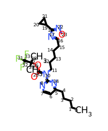 CCCCCc1ccnc(N(CCCCCc2nc(C3CC3)no2)C(=O)OC(C)(C)C(F)(F)F)n1